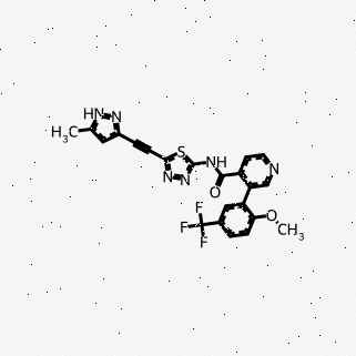 COc1ccc(C(F)(F)F)cc1-c1cnccc1C(=O)Nc1nnc(C#Cc2cc(C)[nH]n2)s1